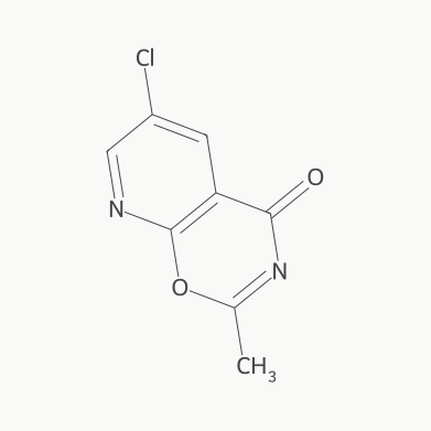 Cc1nc(=O)c2cc(Cl)cnc2o1